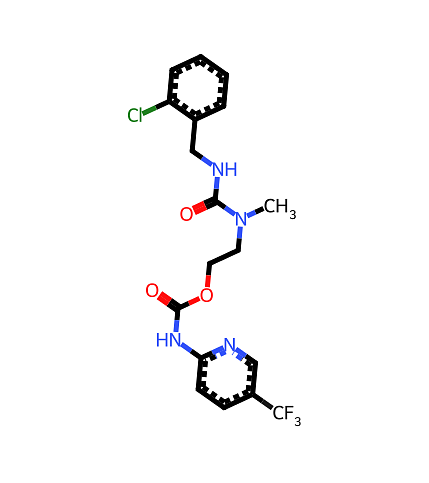 CN(CCOC(=O)Nc1ccc(C(F)(F)F)cn1)C(=O)NCc1ccccc1Cl